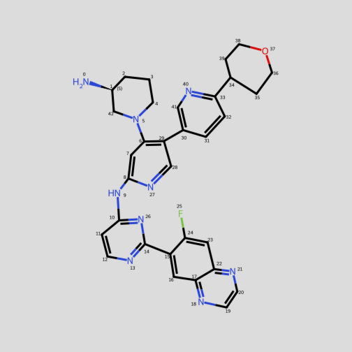 N[C@H]1CCCN(c2cc(Nc3ccnc(-c4cc5nccnc5cc4F)n3)ncc2-c2ccc(C3CCOCC3)nc2)C1